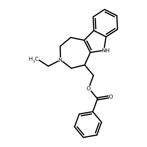 CCN1CCc2c([nH]c3ccccc23)C(COC(=O)c2ccccc2)C1